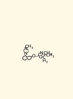 CN1CCN(c2cccc3ccc(OCc4cnc(C(C)(C)C)o4)cc23)CC1